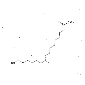 CCC(C)CCCCCCC(C)CCCCCCCCC(=O)OC